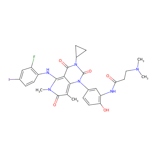 Cc1c(=O)n(C)c(Nc2ccc(I)cc2F)c2c(=O)n(C3CC3)c(=O)n(-c3ccc(O)c(NC(=O)CCN(C)C)c3)c12